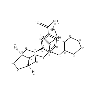 CC(C)NC(=O)N(CCN1[C@@H]2CC[C@H]1C[C@@H](c1cccc(C(N)=O)c1)C2)CC1CCCCC1